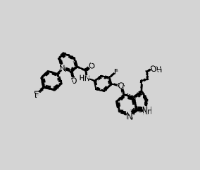 O=C(Nc1ccc(Oc2ccnc3[nH]cc(CCCO)c23)c(F)c1)c1cccn(-c2ccc(F)cc2)c1=O